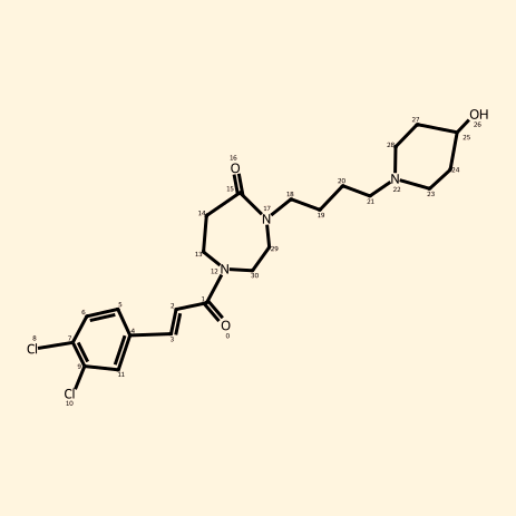 O=C(C=Cc1ccc(Cl)c(Cl)c1)N1CCC(=O)N(CCCCN2CCC(O)CC2)CC1